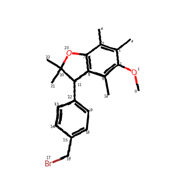 COc1c(C)c(C)c2c(c1C)C(c1ccc(CBr)cc1)C(C)(C)O2